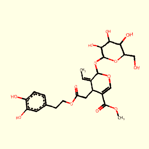 CC=C1C(OC2OC(CO)C(O)C(O)C2O)OC=C(C(=O)OC)C1CC(=O)OCCc1ccc(O)c(O)c1